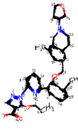 CCOc1c(C(=O)O)cnn1-c1cccc(-c2cccc(C)c2OCc2cc(C)c3c(c2)CCN(C2CCOC2)C3)n1